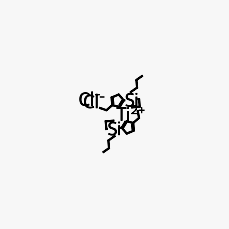 CCCC[Si]1(C2=[C]([Ti+2][C]3=C([Si]4(CCCC)CCC4)CC=C3CC)C(CC)=CC2)CCC1.[Cl-].[Cl-]